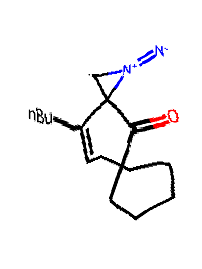 CCCCC1=CC2(CCCC2)C(=O)C12[CH][N+]2=[N-]